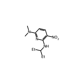 CCC(CC)Nc1nc(N(C)C)ccc1[N+](=O)[O-]